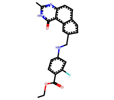 CCOC(=O)c1ccc(NCc2ccc3ccc4nc(C)[nH]c(=O)c4c3c2)cc1F